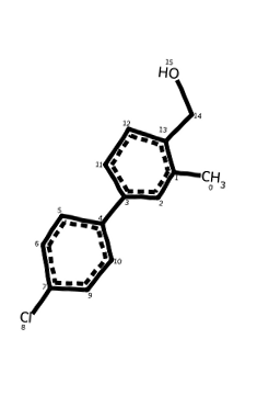 Cc1cc(-c2ccc(Cl)cc2)ccc1CO